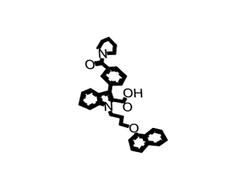 O=C(O)c1c(-c2cccc(C(=O)N3CCCCC3)c2)c2ccccc2n1CCCOc1cccc2ccccc12